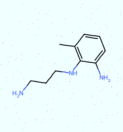 Cc1cccc(N)c1NCCCN